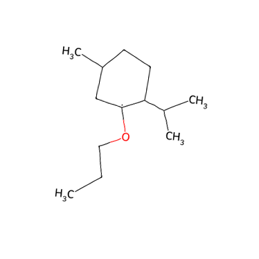 CCCO[C]1CC(C)CCC1C(C)C